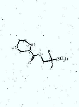 O=C(OCC(F)(F)S(=O)(=O)O)C1COCCN1